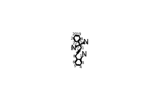 N#Cc1ccccc1CC#CCC(C#N)(C#N)c1ccccc1